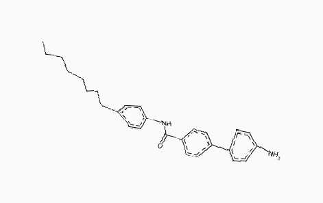 CCCCCCCCc1ccc(NC(=O)c2ccc(-c3ccc(N)cc3)cc2)cc1